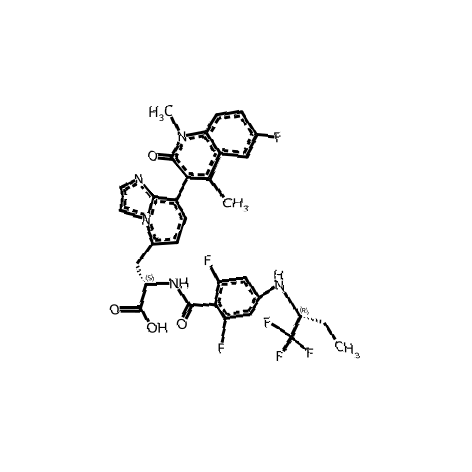 CC[C@@H](Nc1cc(F)c(C(=O)N[C@@H](Cc2ccc(-c3c(C)c4cc(F)ccc4n(C)c3=O)c3nccn23)C(=O)O)c(F)c1)C(F)(F)F